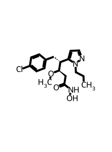 CCCn1nccc1[C@@H](Cc1ccc(Cl)cc1)[C@@H](CC(=O)NO)OC